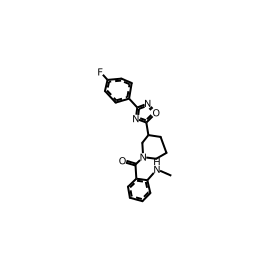 CNc1ccccc1C(=O)N1CCCC(c2nc(-c3ccc(F)cc3)no2)C1